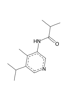 Cc1c(NC(=O)C(C)C)cncc1C(C)C